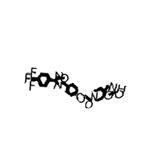 O=C1NCC2(CCN(C(=O)COc3ccc(-c4nc(-c5ccc(C(F)(F)F)cc5)no4)cc3)CC2)O1